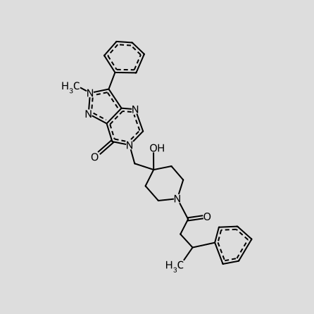 CC(CC(=O)N1CCC(O)(Cn2cnc3c(-c4ccccc4)n(C)nc3c2=O)CC1)c1ccccc1